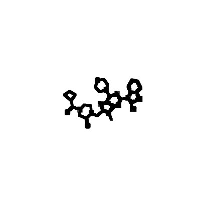 CCc1nc2ccccc2n1-c1nc(N2CCOCC2)c2nc(CN3CCN(C(=O)C4CCC4)CC3=O)n(C)c2n1